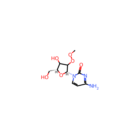 COOC1C(O)[C@@H](CO)O[C@H]1n1ccc(N)nc1=O